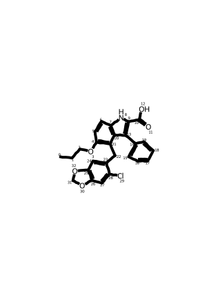 CCCOc1ccc2[nH]c(C(=O)O)c(-c3ccccc3)c2c1Cc1cc2c(cc1Cl)OCO2